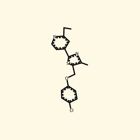 CCc1cc(-c2nc(C)c(COc3ccc(Cl)cc3)s2)ccn1